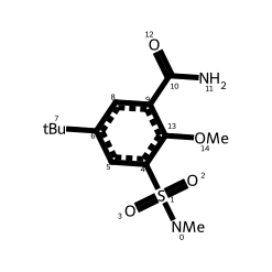 CNS(=O)(=O)c1cc(C(C)(C)C)cc(C(N)=O)c1OC